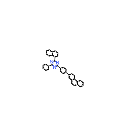 c1ccc(-c2nc(-c3ccc(-c4ccc5c(ccc6ccccc65)c4)cc3)nc(-c3cccc4ccccc34)n2)cc1